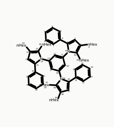 CCCCCCc1cc(-c2ccccc2)n(-c2cc(-n3c(-c4ccccc4)cc(CCCCCC)c3CCCCCC)cc(-n3c(-c4ccccc4)cc(CCCCCC)c3CCCCCC)c2)c1CCCCCC